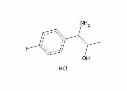 CC(O)C(N)c1ccc(I)cc1.Cl